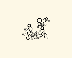 CC[C@H](C)[C@@H]([C@@H](CC(=O)N1CCC[C@H]1[C@H](OC)[C@@H](C)C(=O)N[C@H](C)[C@@H](O)c1ccccc1)OC)N(C)C(=O)[C@@H](NC(=O)[C@H](C(C)C)N(C)C(=O)OCc1ccc(NC(=O)O/C2=C/CCCCCC2)c(C(=O)NCCN2C(=O)C=CC2=O)c1)C(C)C